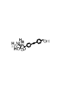 CC(C)(N)C(NC(=O)c1ccc(C#Cc2ccc(CO)cc2)cc1)C(=O)O